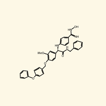 COc1cc([C@@H](Nc2ccc(C(=N)NO)cc2)C(=O)NCc2ccccc2)ccc1OCc1ccc(Oc2ccccc2)cc1